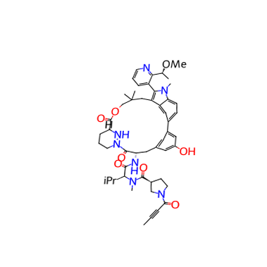 CC#CC(=O)N1CC[C@H](C(=O)N(C)C(C(=O)N[C@H]2Cc3cc(O)cc(c3)-c3ccc4c(c3)c(c(-c3cccnc3[C@H](C)OC)n4C)CC(C)(C)COC(=O)[C@@H]3CCCN(N3)C2=O)C(C)C)C1